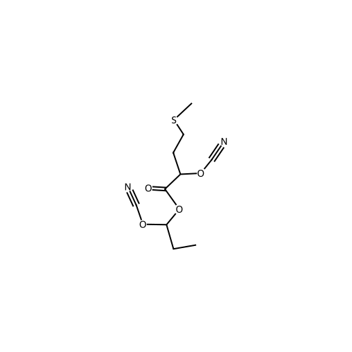 CCC(OC#N)OC(=O)C(CCSC)OC#N